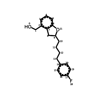 OCc1cccc2c1CC(CCCCc1ccc(F)cc1)O2